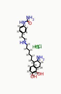 Cl.Cl.NC(=O)Nc1ccc(CCNCCCCCCC2c3ccc(O)c(O)c3CCC2N)cc1